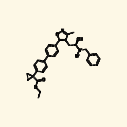 CCOC(=O)C1(c2ccc(-c3ccc(-c4onc(C)c4C[C@@H](O)[S+]([O-])Cc4ccccc4)cc3)cc2)CC1